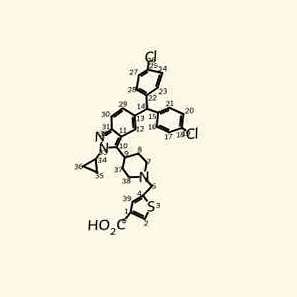 O=C(O)c1csc(CN2CCC(c3c4cc(C(c5ccc(Cl)cc5)c5ccc(Cl)cc5)ccc4nn3C3CC3)CC2)c1